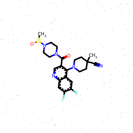 C[S+]([O-])N1CCN(C(=O)c2cnc3cc(F)c(F)cc3c2N2CCC(C)(C#N)CC2)CC1